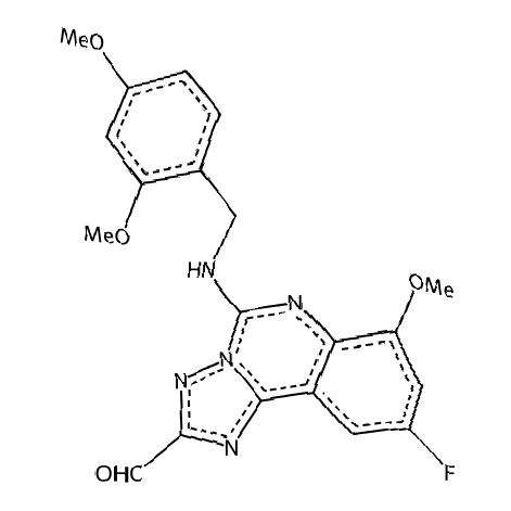 COc1ccc(CNc2nc3c(OC)cc(F)cc3c3nc(C=O)nn23)c(OC)c1